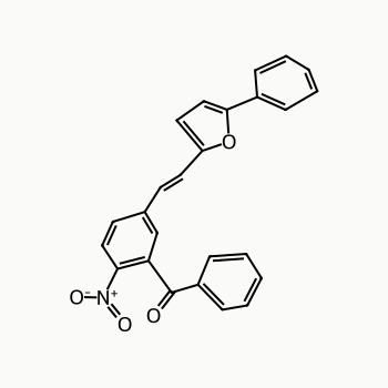 O=C(c1ccccc1)c1cc(C=Cc2ccc(-c3ccccc3)o2)ccc1[N+](=O)[O-]